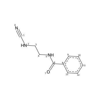 N#CNCCNC(=O)c1ccccc1